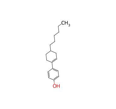 CCCCCCC1CC=C(c2ccc(O)cc2)CC1